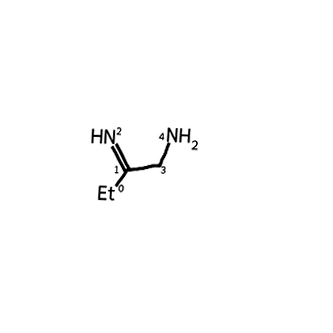 [CH2]CC(=N)CN